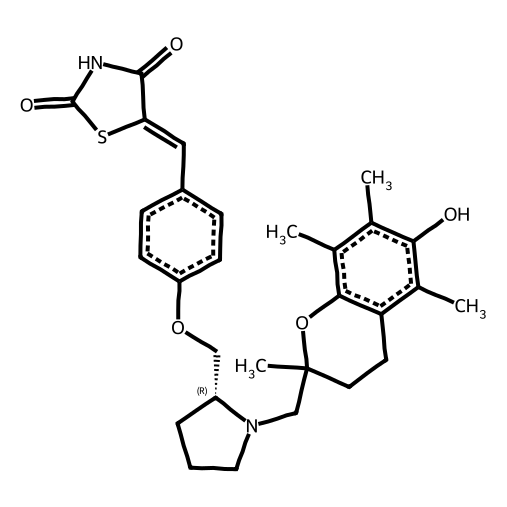 Cc1c(C)c2c(c(C)c1O)CCC(C)(CN1CCC[C@@H]1COc1ccc(C=C3SC(=O)NC3=O)cc1)O2